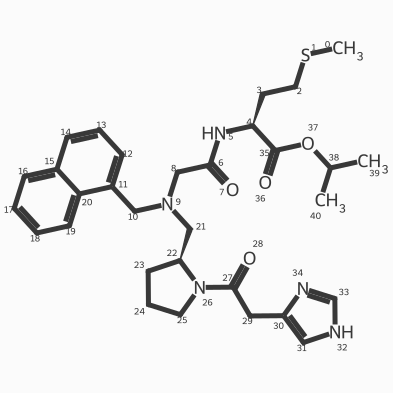 CSCC[C@H](NC(=O)CN(Cc1cccc2ccccc12)C[C@@H]1CCCN1C(=O)Cc1c[nH]cn1)C(=O)OC(C)C